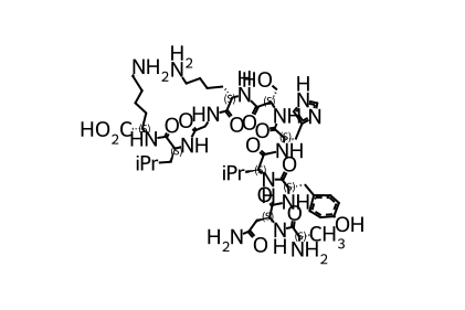 CC(C)C[C@H](NC(=O)CNC(=O)[C@H](CCCCN)NC(=O)[C@H](CO)NC(=O)[C@H](Cc1c[nH]cn1)NC(=O)[C@@H](NC(=O)[C@H](Cc1ccc(O)cc1)NC(=O)[C@H](CC(N)=O)NC(=O)[C@H](C)N)C(C)C)C(=O)N[C@@H](CCCCN)C(=O)O